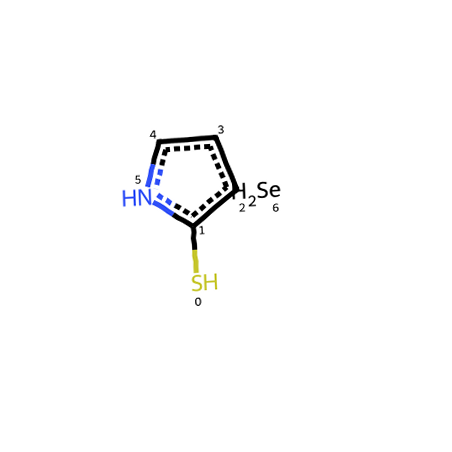 Sc1ccc[nH]1.[SeH2]